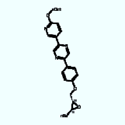 CCCCCCCCOc1ccc(-c2cnc(-c3ccc(OC[C@@H]4O[C@H]4CCCC)cc3)cn2)cn1